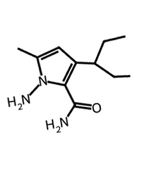 CCC(CC)c1cc(C)n(N)c1C(N)=O